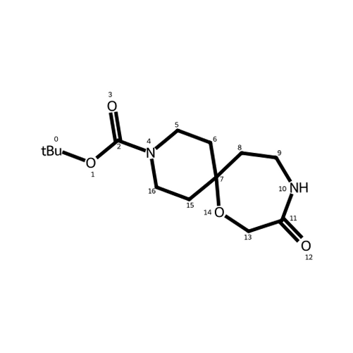 CC(C)(C)OC(=O)N1CCC2(CCNC(=O)CO2)CC1